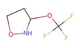 FC(F)(F)OC1[CH]CON1